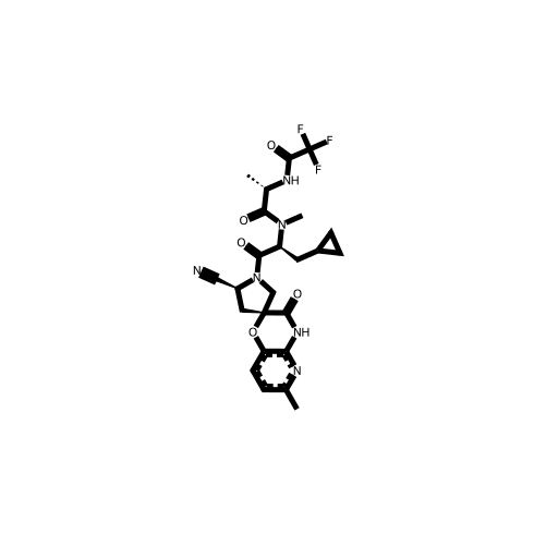 Cc1ccc2c(n1)NC(=O)[C@]1(C[C@@H](C#N)N(C(=O)[C@H](CC3CC3)N(C)C(=O)[C@H](C)NC(=O)C(F)(F)F)C1)O2